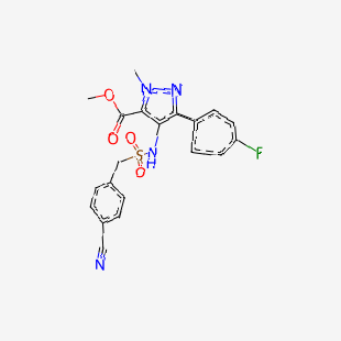 COC(=O)c1c(NS(=O)(=O)Cc2ccc(C#N)cc2)c(-c2ccc(F)cc2)nn1C